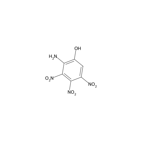 Nc1c(O)cc([N+](=O)[O-])c([N+](=O)[O-])c1[N+](=O)[O-]